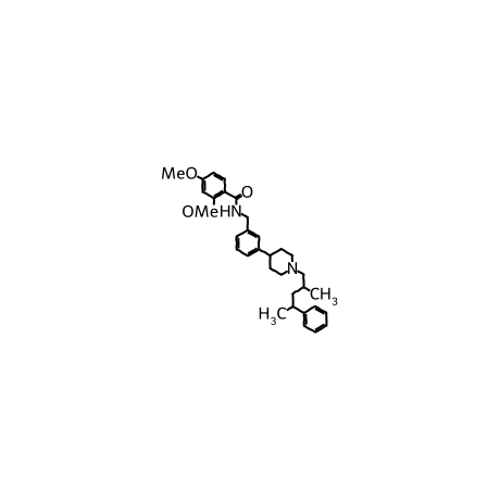 COc1ccc(C(=O)NCc2cccc(C3CCN(CC(C)CC(C)c4ccccc4)CC3)c2)c(OC)c1